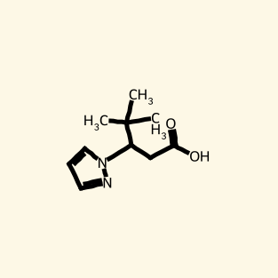 CC(C)(C)C(CC(=O)O)n1cccn1